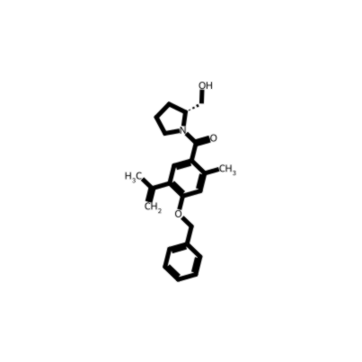 C=C(C)c1cc(C(=O)N2CCC[C@@H]2CO)c(C)cc1OCc1ccccc1